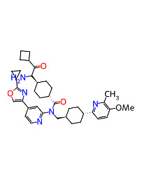 COc1ccc([C@H]2CC[C@H](CN(c3cc(-c4coc(C5CC5)n4)ccn3)C(=O)[C@H]3CC[C@H](C(N)C(=O)C4CCC4)CC3)CC2)nc1C